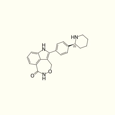 O=C1NOCc2c(-c3ccc([C@@H]4CCCCN4)cc3)[nH]c3cccc1c23